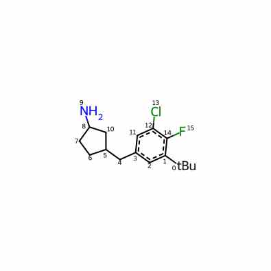 CC(C)(C)c1cc(CC2CCC(N)C2)cc(Cl)c1F